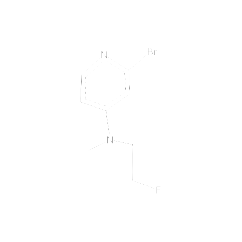 CN(CCF)c1ccnc(Br)c1